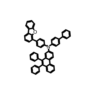 c1ccc(-c2ccc(N(c3ccc(-c4cccc5c4oc4ccccc45)cc3)c3ccc4c(c3)c(-c3ccccc3)c(-c3ccccc3)c3ccccc34)cc2)cc1